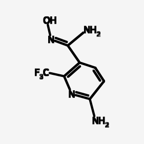 N/C(=N\O)c1ccc(N)nc1C(F)(F)F